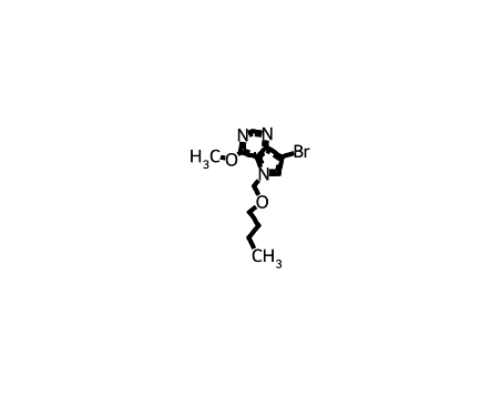 CCCCOCn1cc(Br)c2ncnc(OC)c21